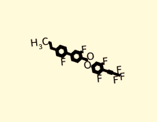 CCCc1ccc(-c2ccc(C(=O)Oc3cc(F)c(C#CC(F)(F)F)c(F)c3)c(F)c2)c(F)c1